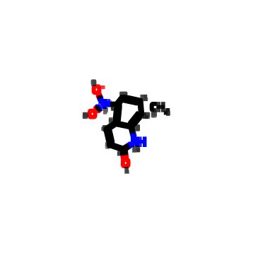 C.O=c1ccc2c([N+](=O)[O-])cccc2[nH]1